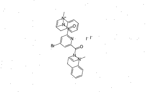 C[N+]12C=C(Cc3ccccc31)N2C(=O)c1cc(Br)cc(C(=O)N2C3=C[N+]2(C)c2ccccc2C3)n1.[I-].[I-]